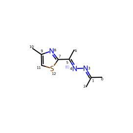 CC(C)=N/N=C(\C)c1nc(C)cs1